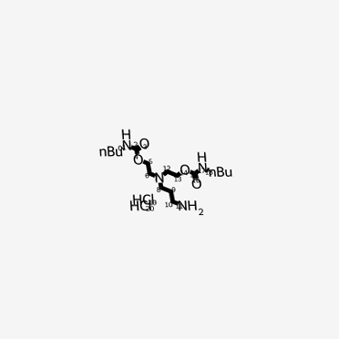 CCCCNC(=O)OCCN(CCCN)CCOC(=O)NCCCC.Cl.Cl